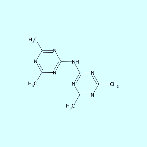 Cc1nc(C)nc(Nc2nc(C)nc(C)n2)n1